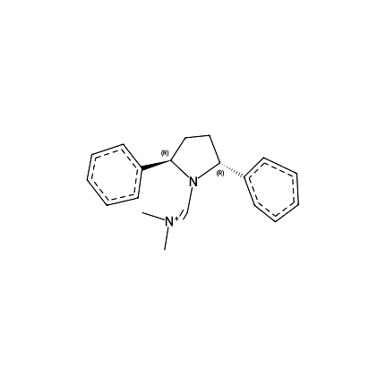 C[N+](C)=CN1[C@@H](c2ccccc2)CC[C@@H]1c1ccccc1